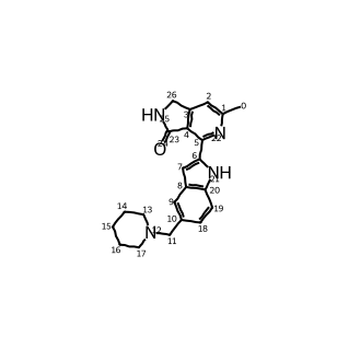 Cc1cc2c(c(-c3cc4cc(CN5CCCCC5)ccc4[nH]3)n1)C(=O)NC2